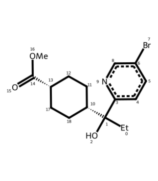 CCC(O)(c1ccc(Br)cn1)[C@H]1CC[C@@H](C(=O)OC)CC1